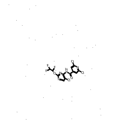 O=C(Nc1nc(OC(F)C(F)F)ncc1Cl)c1cc(Cl)nc(Cl)c1